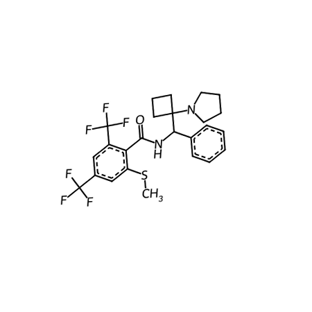 CSc1cc(C(F)(F)F)cc(C(F)(F)F)c1C(=O)NC(c1ccccc1)C1(N2CCCC2)CCC1